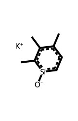 Cc1cc[si]([O-])c(C)c1C.[K+]